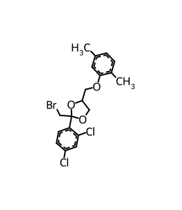 Cc1ccc(C)c(OCC2COC(CBr)(c3ccc(Cl)cc3Cl)O2)c1